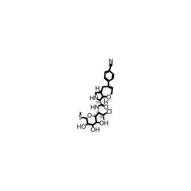 CSC1O[C@H]([C@H](NC(=O)[C@H]2NC[C@@H]3CC(c4ccc(C#N)cc4)=CCO[C@H]32)[C@H](C)Cl)C(O)C(O)[C@H]1O